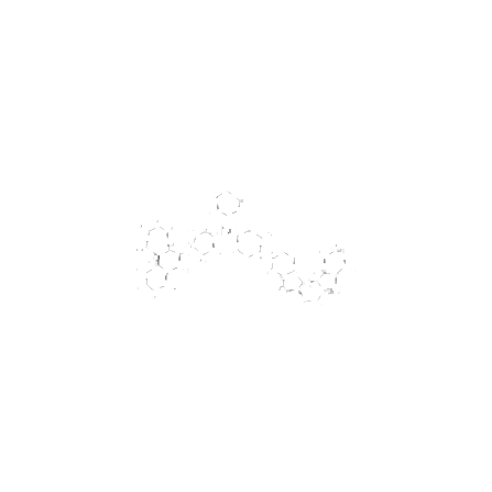 c1ccc(N(c2ccc(-c3ccc4c(c3)oc3ccc5oc6ccccc6c5c34)cc2)c2ccc(-c3cc4ccccc4c4ccccc34)cc2)cc1